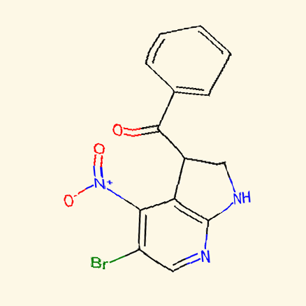 O=C(c1ccccc1)C1CNc2ncc(Br)c([N+](=O)[O-])c21